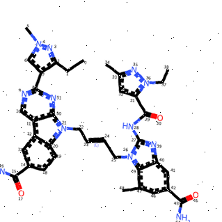 CCc1nn(C)cc1-c1ncc2c3cc(C(N)=O)ccc3n(C/C=C/Cn3c(NC(=O)c4cc(C)nn4CC)nc4cc(C(N)=O)cc(C)c43)c2n1